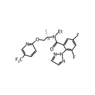 CCN(C(=O)c1cc(F)cc(F)c1-n1nccn1)[C@@H](C)COc1ccc(C(F)(F)F)cn1